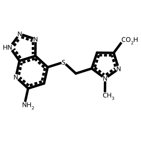 Cn1nc(C(=O)O)cc1CSc1cc(N)nc2[nH]nnc12